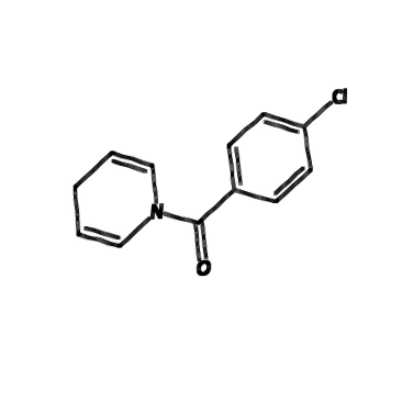 O=C(c1ccc(Cl)cc1)N1C=CCC=C1